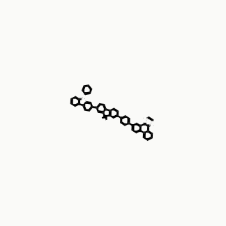 CC1(C)c2cc(-c3ccc(-c4ccc5c6ccccc6c6nccnc6c5c4)cc3)ccc2-c2ccc(-c3ccc4c5ccccc5n(-c5ccccc5)c4c3)cc21